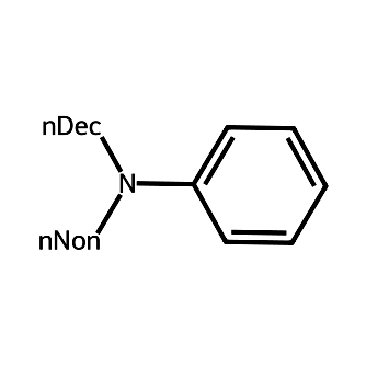 CCCCCCCCCCN(CCCCCCCCC)c1ccccc1